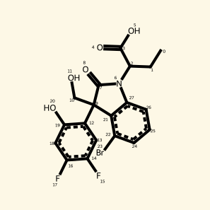 CCC(C(=O)O)N1C(=O)C(CO)(c2cc(F)c(F)cc2O)c2c(Br)cccc21